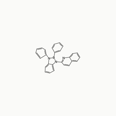 c1ccc(B2N(c3ccccc3)c3ccccc3N2c2ccc3ccccc3n2)cc1